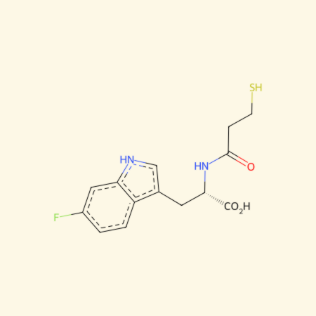 O=C(CCS)N[C@@H](Cc1c[nH]c2cc(F)ccc12)C(=O)O